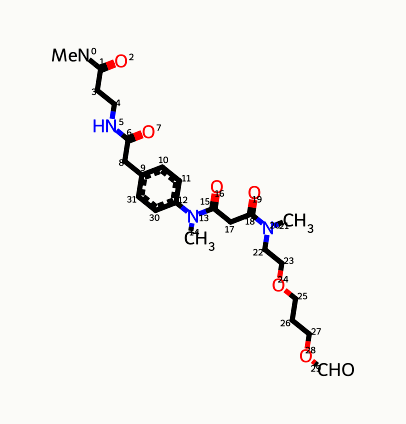 CNC(=O)CCNC(=O)Cc1ccc(N(C)C(=O)CC(=O)N(C)CCOCCCOC=O)cc1